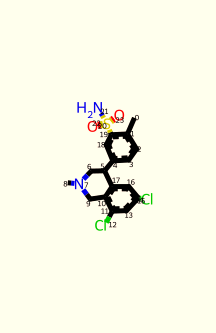 Cc1ccc(C2CN(C)Cc3c(Cl)cc(Cl)cc32)cc1S(N)(=O)=O